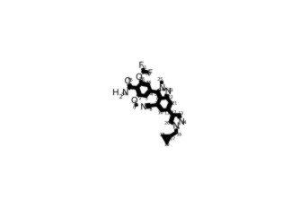 COc1cc(-c2c3c(C#N)cc(-c4cnn(CC5CC5)c4)cc3nn2C)cc(OC(F)F)c1C(N)=O